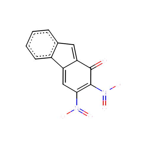 O=C1C2=Cc3ccccc3C2=CC([N+](=O)[O-])=C1[N+](=O)[O-]